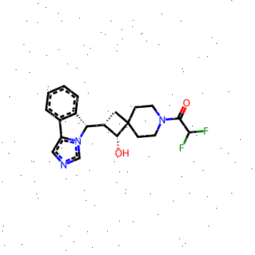 O=C(C(F)F)N1CCC2(CC1)C[C@@H]([C@H]1c3ccccc3-c3cncn31)[C@H]2O